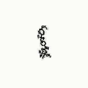 Cc1ccc(C(F)(F)CN2CCC(NC(=O)OC(C)(C)C)CC2)nc1